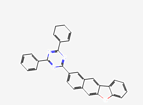 C1=CC(c2nc(-c3ccccc3)nc(-c3ccc4cc5oc6ccccc6c5cc4c3)n2)=CCC1